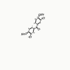 CCc1cc(C(=O)c2ccc(OC)c(CC)c2)ccc1OC